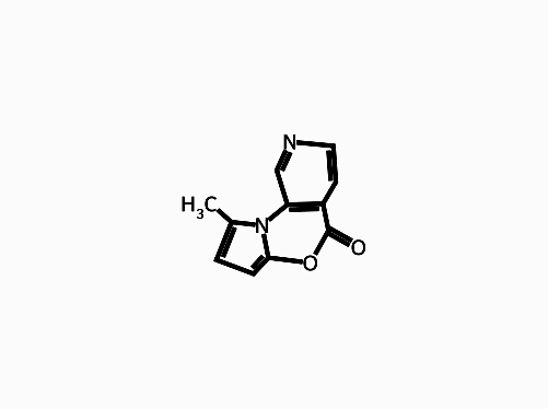 Cc1ccc2oc(=O)c3ccncc3n12